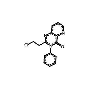 O=c1c2ncccc2nc(CCCl)n1-c1ccccc1